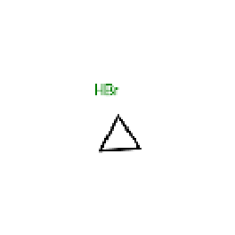 Br.C1CC1